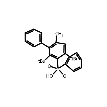 Cc1cc(C(C)(C)C)c(P(O)(O)(O)c2ccccc2)c(C(C)(C)C)c1-c1ccccc1